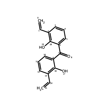 C=Cc1cccc(C(=O)c2cccc(C=C)c2O)c1O